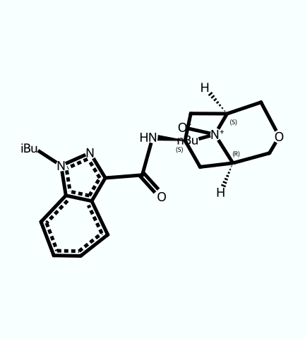 CCCC[N+]1([O-])[C@@H]2COC[C@H]1C[C@@H](NC(=O)c1nn(C(C)CC)c3ccccc13)C2